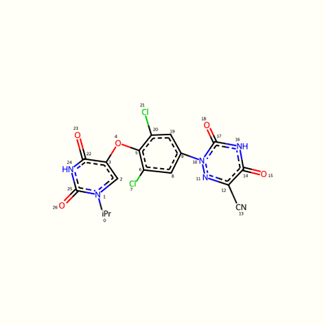 CC(C)n1cc(Oc2c(Cl)cc(-n3nc(C#N)c(=O)[nH]c3=O)cc2Cl)c(=O)[nH]c1=O